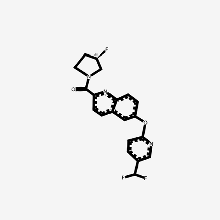 O=C(c1ccc2cc(Oc3ccc(C(F)F)cn3)ccc2n1)N1CC[C@@H](F)C1